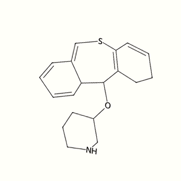 C1=CC2=CSC3=C(CCC=C3)C(OC3CCCNC3)C2C=C1